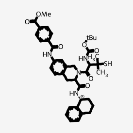 COC(=O)c1ccc(C(=O)Nc2ccc3c(c2)CN(C(=O)C(NC(=O)OC(C)(C)C)C(C)(C)S)C(C(=O)N[C@@H]2CCCc4ccccc42)C3)cc1